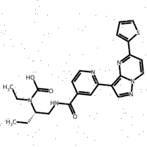 CC[C@@H](CNC(=O)c1ccnc(-c2cnn3ccc(-c4cccs4)nc23)c1)N(CC)C(=O)O